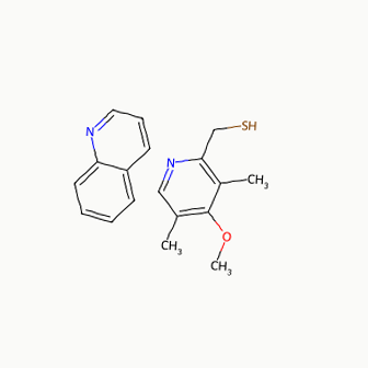 COc1c(C)cnc(CS)c1C.c1ccc2ncccc2c1